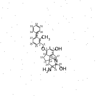 Cc1c(COc2cc(O)c3c4c2CCC42CN(C3)C3(CO)CC3(N)C2)cccc1-c1ccccc1